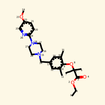 CCOC(=O)C(C)(C)Oc1c(C)cc(CN2CCN(c3ccc(OC)cn3)CC2)cc1C